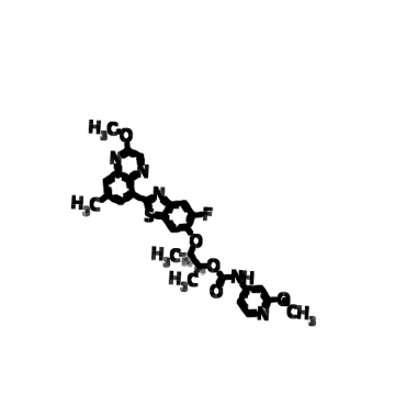 COc1cc(NC(=O)O[C@H](C)[C@H](C)Oc2cc3sc(-c4cc(C)cc5nc(OC)cnc45)nc3cc2F)ccn1